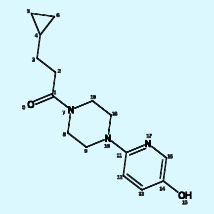 O=C(CCC1CC1)N1CCN(c2ccc(O)cn2)CC1